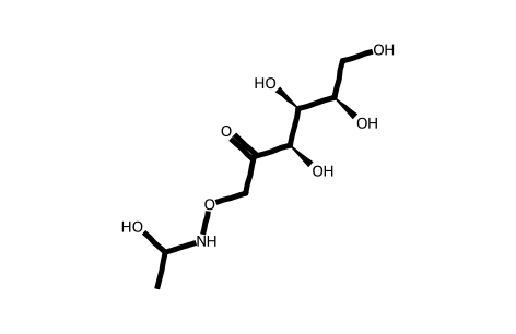 CC(O)NOCC(=O)[C@H](O)[C@@H](O)[C@H](O)CO